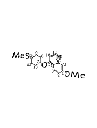 COc1ccc2c(O[C@H]3CC[C@@H](SC)CC3)ccnc2c1